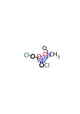 CN(CCCn1c(=N)n(CC(=O)c2ccc(Cl)cc2)c2cccc(Cl)c21)C(=O)CC1CCCC1